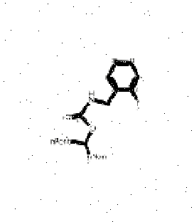 CCCCCCCCCC(CCCCC)OC(=O)NCc1ccccc1F